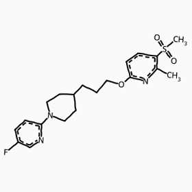 Cc1nc(OCCCC2CCN(c3ccc(F)cn3)CC2)ccc1S(C)(=O)=O